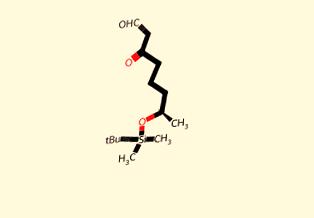 C[C@H](CCCC(=O)CC=O)O[Si](C)(C)C(C)(C)C